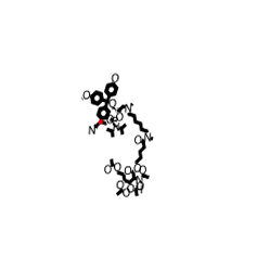 COc1ccc(C(OC[C@H](CN(C)CCCCCCN(C)C(=O)CCCCOC2OC(COC(C)=O)C(OC(C)=O)C(OC(C)=O)C2NC(C)=O)OP(OCCC#N)N(C(C)C)C(C)C)(c2ccccc2)c2ccc(OC)cc2)cc1